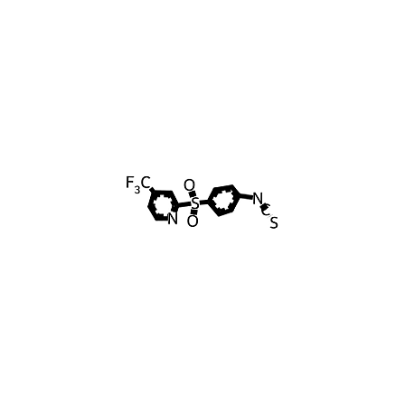 O=S(=O)(c1ccc(N=C=S)cc1)c1cc(C(F)(F)F)ccn1